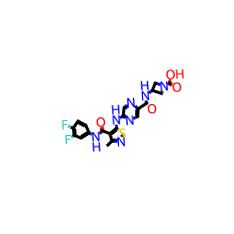 Cc1nsc(Nc2cnc(C(=O)NC3CN(C(=O)O)C3)cn2)c1C(=O)Nc1ccc(F)c(F)c1